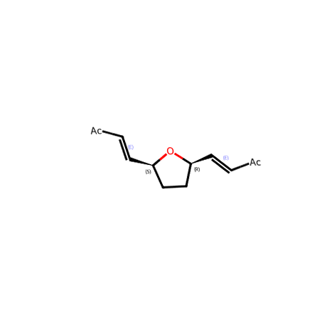 CC(=O)/C=C/[C@@H]1CC[C@H](/C=C/C(C)=O)O1